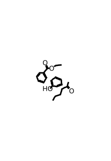 CCCCC(C)=O.CCOC(=O)c1ccccc1.Oc1ccccc1